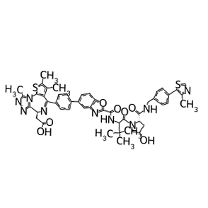 Cc1ncsc1-c1ccc(CNC(=O)[C@@H]2C[C@@H](O)CN2C(=O)C(NC(=O)c2nc3cc(-c4ccc(C5=N[C@@H](CC(=O)O)c6nnc(C)n6-c6sc(C)c(C)c65)cc4)ccc3o2)C(C)(C)C)cc1